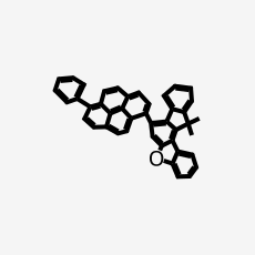 CC1(C)c2ccccc2-c2c(-c3ccc4ccc5c(-c6ccccc6)ccc6ccc3c4c65)cc3oc4ccccc4c3c21